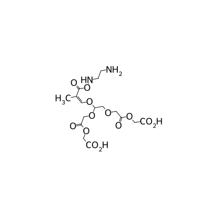 CC(=COC(COCC(=O)OCC(=O)O)OCC(=O)OCC(=O)O)C(=O)ONCCN